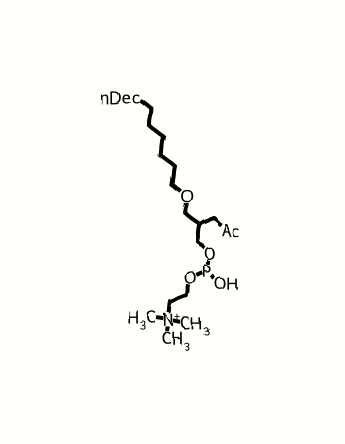 CCCCCCCCCCCCCCCCOCC(COP(O)OCC[N+](C)(C)C)CC(C)=O